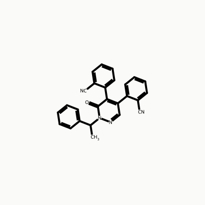 CC(c1ccccc1)n1ncc(-c2ccccc2C#N)c(-c2ccccc2C#N)c1=O